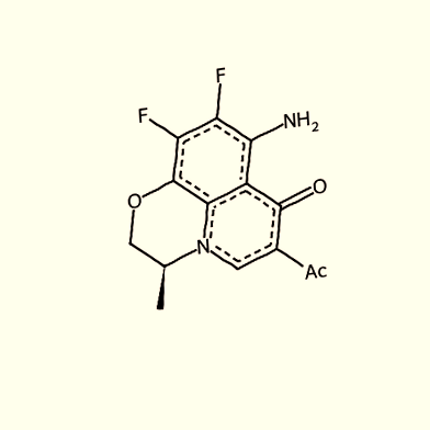 CC(=O)c1cn2c3c(c(F)c(F)c(N)c3c1=O)OC[C@@H]2C